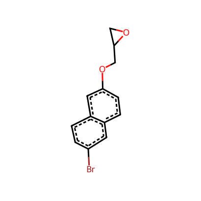 Brc1ccc2cc(OCC3CO3)ccc2c1